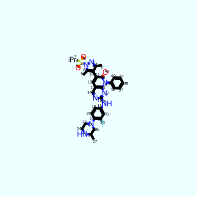 Cc1nn(S(=O)(=O)C(C)C)c(C)c1-c1cc2cnc(Nc3ccc(N4CCNC(C)C4)c(F)c3)nc2n(-c2ccccc2)c1=O